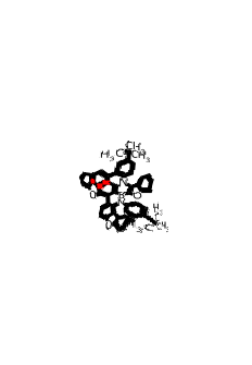 CC(C)(C)c1ccc(N2B3c4oc5ccccc5c4N(c4ccc(C(C)(C)C)cc4-c4ccccc4)c4cc5c(oc6ccccc65)c(c43)-c3ccc4oc5ccccc5c4c32)cc1